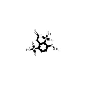 COc1ccc(S(=O)(=O)O)c(CC[O])c1S(=O)(=O)O